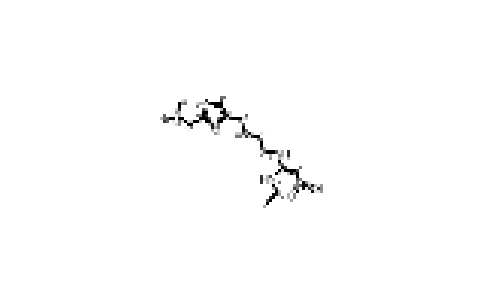 CCNC(=C[N+](=O)[O-])NCCSCc1csc(CN(C)C)n1